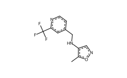 Cc1oncc1NCc1ccnc(C(F)(F)F)c1